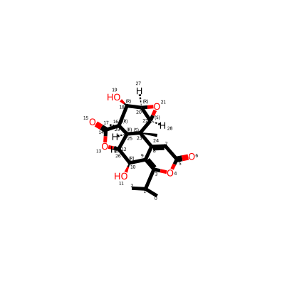 CC(C)c1oc(=O)cc2c1[C@@H](O)[C@H]1OC(=O)[C@@]3(C)[C@@H](O)[C@H]4O[C@H]4[C@@]2(C)[C@@H]13